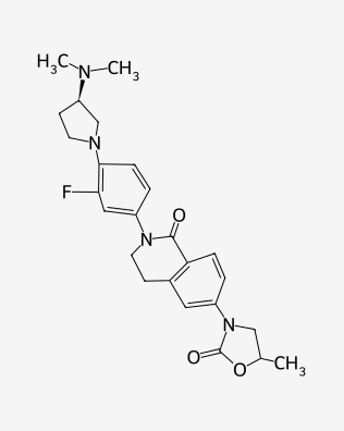 CC1CN(c2ccc3c(c2)CCN(c2ccc(N4CC[C@@H](N(C)C)C4)c(F)c2)C3=O)C(=O)O1